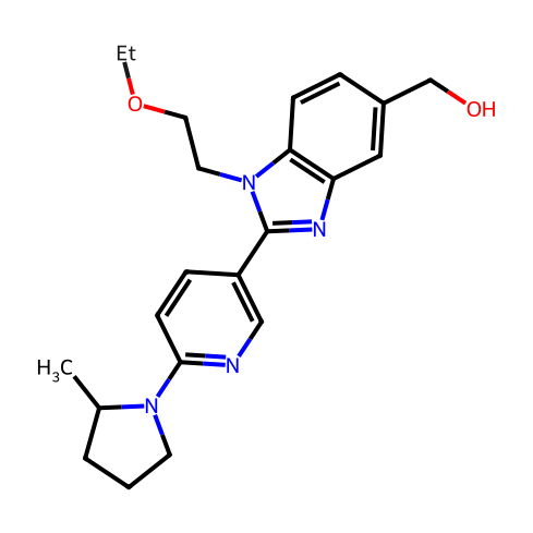 CCOCCn1c(-c2ccc(N3CCCC3C)nc2)nc2cc(CO)ccc21